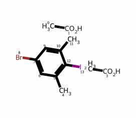 CC(=O)O.CC(=O)O.Cc1cc(Br)cc(C)c1I